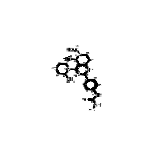 CCNC(=O)Nc1ccc(-c2nc3c(c(N4CCOCC4C)n2)C(C(C)(C)C)N(C(=O)O)CC3)cc1